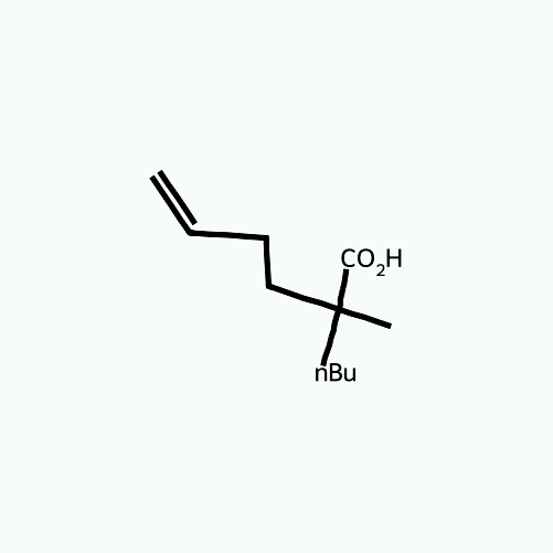 C=CCCC(C)(CCCC)C(=O)O